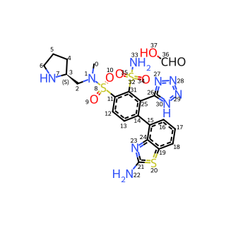 CN(C[C@@H]1CCCN1)S(=O)(=O)c1ccc(-c2cccc3sc(N)nc23)c(-c2nnn[nH]2)c1S(N)(=O)=O.O=CO